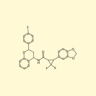 O=C(NC1CC(c2ccc(F)cc2)Oc2ccccc21)C1C(c2ccc3c(c2)OCO3)C1(F)F